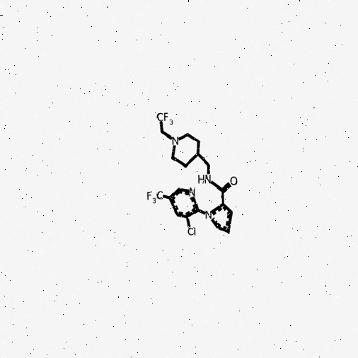 O=C(NCC1CCN(CC(F)(F)F)CC1)c1cccn1-c1ncc(C(F)(F)F)cc1Cl